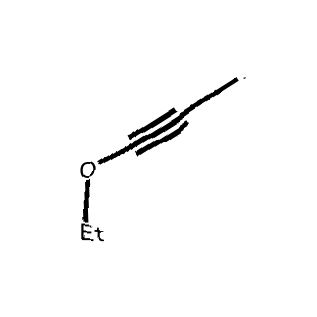 [CH2]C#COCC